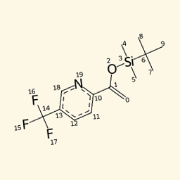 C=C(O[Si](C)(C)C(C)(C)C)c1ccc(C(F)(F)F)cn1